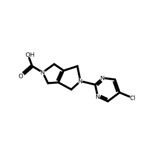 O=C(O)N1CC2=C(C1)CN(c1ncc(Cl)cn1)C2